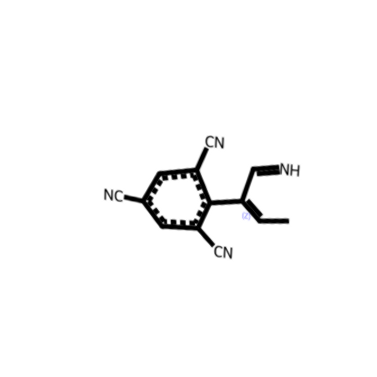 C/C=C(\C=N)c1c(C#N)cc(C#N)cc1C#N